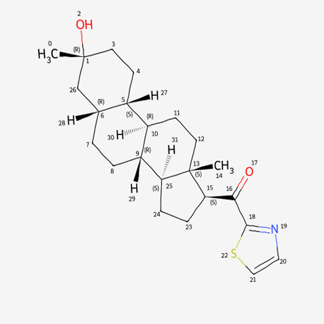 C[C@@]1(O)CC[C@H]2[C@H](CC[C@@H]3[C@@H]2CC[C@]2(C)[C@@H](C(=O)c4nccs4)CC[C@@H]32)C1